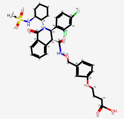 CS(=O)(=O)N[C@H]1CCCC[C@@H]1N1C(=O)c2ccccc2[C@@H](C(=O)NOCc2cccc(OCCCC(=O)O)c2)[C@@H]1c1ccc(Cl)cc1Cl